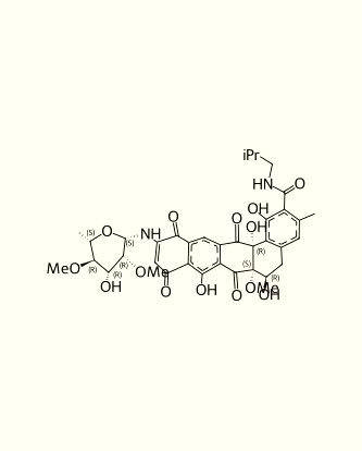 CO[C@@H]1[C@@H](O)[C@@H](OC)[C@@H](NC2=CC(=O)c3c(cc4c(c3O)C(=O)[C@]3(OC)[C@H](O)Cc5cc(C)c(C(=O)NCC(C)C)c(O)c5[C@]3(O)C4=O)C2=O)O[C@H]1C